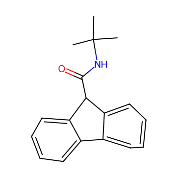 CC(C)(C)NC(=O)C1c2ccccc2-c2ccccc21